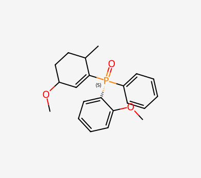 COc1ccccc1[P@@](=O)(C1=CC(OC)CCC1C)c1ccccc1